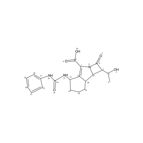 CC(O)C1C(=O)N2C(C(=O)O)=C3C(NC(=O)Nc4ccccc4)CCCC3C12